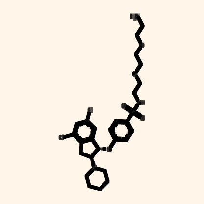 NCCOCCOCCNS(=O)(=O)c1ccc(O[C@H]2c3cc(Cl)cc(Cl)c3C[C@@H]2N2CCCCC2)cc1